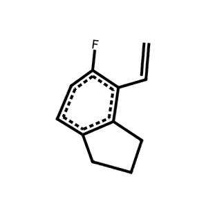 C=Cc1c(F)ccc2c1CCC2